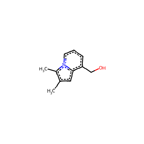 Cc1cc2c(CO)cccn2c1C